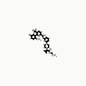 CCOC(=O)C1(N2CCN(c3cccc(SNc4ccc(C(F)(F)F)c(-c5cc(F)ccc5C)n4)n3)CC2)CC1